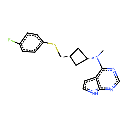 CN(c1ncnc2[nH]ccc12)[C@H]1C[C@@H](CSc2ccc(F)cc2)C1